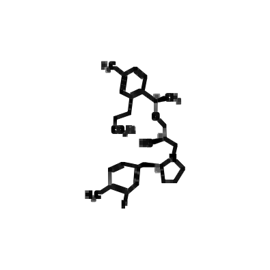 CCOC(=O)CCc1cc(C(F)(F)F)ccc1[C@@H](C)OC[C@H](O)CN1CCC[C@H]1Cc1ccc(C)c(F)c1